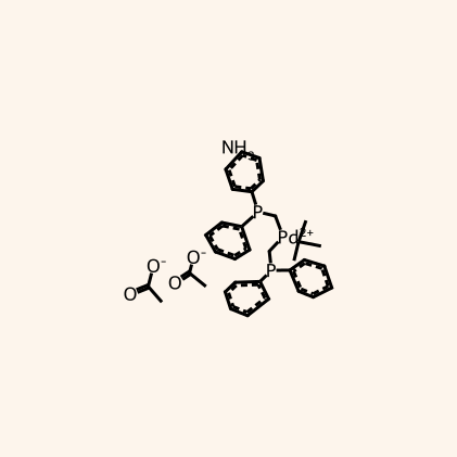 CC(=O)[O-].CC(=O)[O-].C[C](C)(C)[Pd+2]([CH2]P(c1ccccc1)c1ccccc1)[CH2]P(c1ccccc1)c1ccccc1.N